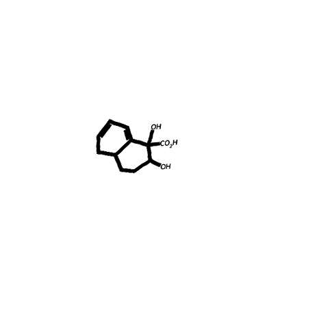 O=C(O)C1(O)C2=CC=CCC2CCC1O